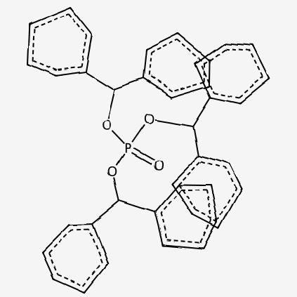 O=P(OC(c1ccccc1)c1ccccc1)(OC(c1ccccc1)c1ccccc1)OC(c1ccccc1)c1ccccc1